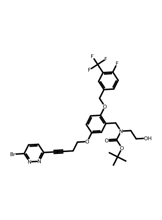 CC(C)(C)OC(=O)N(CCO)Cc1cc(OCCC#Cc2ccc(Br)nn2)ccc1OCc1ccc(F)c(C(F)(F)F)c1